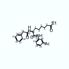 CCC(=O)CCCCC[C@H](NC(=O)Cc1ccccc1)C(=O)Nc1cccc(C(C)=O)c1